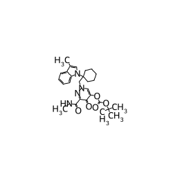 CNC(=O)c1nn(CC2(n3cc(C)c4ccccc43)CCCCC2)cc(OC(=O)OC(C)(C)C)c1=O